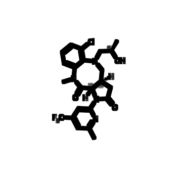 Cc1cc(C(F)(F)F)cc(N2C(=O)C[C@@H]3CN(C[C@@H](C)O)c4c(Cl)cccc4N(C)C(=O)[C@H]32)n1